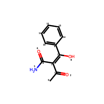 CC(=O)C(C(N)=O)=C(O)c1ccccc1